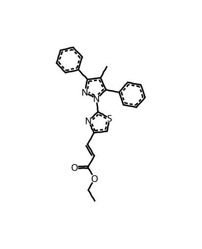 CCOC(=O)/C=C/c1csc(-n2nc(-c3ccccc3)c(C)c2-c2ccccc2)n1